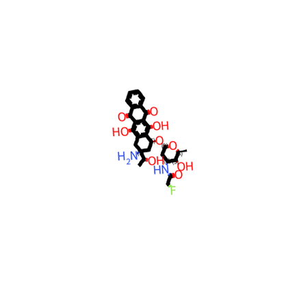 CC(O)[C@]1(N)Cc2c(O)c3c(c(O)c2[C@@H](O[C@H]2C[C@H](NC(=O)CF)[C@H](O)[C@H](C)O2)C1)C(=O)c1ccccc1C3=O